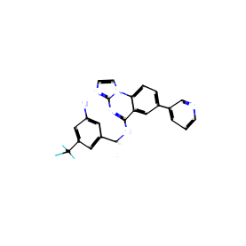 C[C@@H](Nc1nc2nccn2c2ccc(-c3cccnc3)cc12)c1cc(N)cc(C(F)(F)F)c1